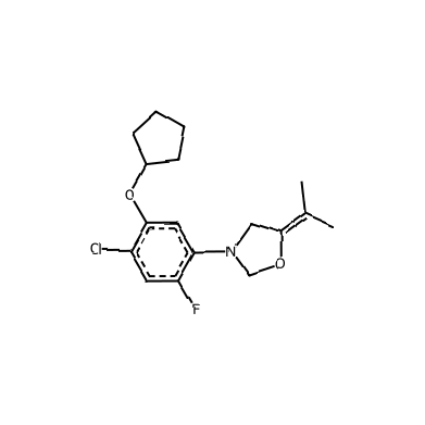 CC(C)=C1CN(c2cc(OC3CCCC3)c(Cl)cc2F)CO1